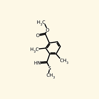 COC(=O)c1ccc(C)c(C(=N)SC)c1C